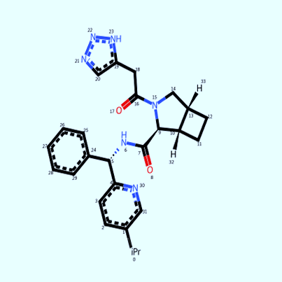 CC(C)c1ccc([C@@H](NC(=O)[C@@H]2[C@H]3CC[C@H]3CN2C(=O)Cc2cnn[nH]2)c2ccccc2)nc1